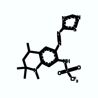 CC1CC(C)(C)N(C)c2cc(NS(=O)(=O)C(F)(F)F)c(N=Nc3ncns3)cc21